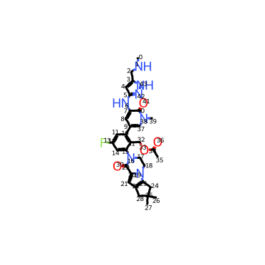 CNCc1cc(Nc2cc(-c3cc(F)cc(N4CCn5c(cc6c5CC(C)(C)C6)C4=O)c3COC(C)=O)cn(C)c2=O)n[nH]1